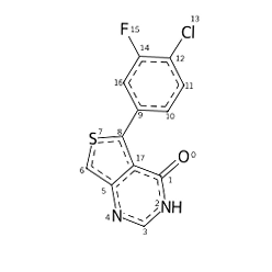 O=c1[nH]cnc2csc(-c3ccc(Cl)c(F)c3)c12